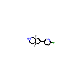 Fc1ccc(C2=C[C@H]3CNCC[C@H]3C2)cn1